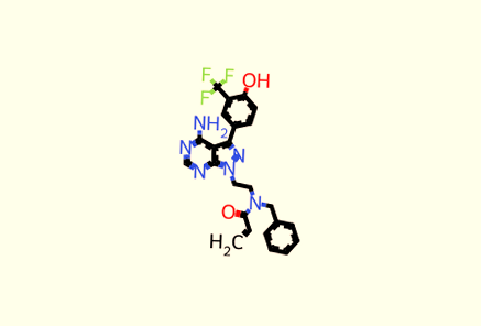 C=CC(=O)N(CCn1nc(-c2ccc(O)c(C(F)(F)F)c2)c2c(N)ncnc21)Cc1ccccc1